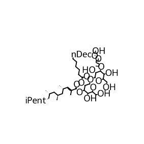 CCCCCCCCCCCCCCCC(=O)OC1C(OC2OC(CO)C(O)C(OSOOO)C2O)OC(CO)C(O)C1OC(=O)/C(C)=C/[C@@H](C)C[C@@H](C)C[C@@H](C)C[C@@H](C)CCC